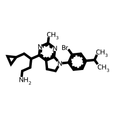 Cc1nc(C(CCN)CC2CC2)c2c(n1)N(c1ccc(C(C)C)cc1Br)CC2